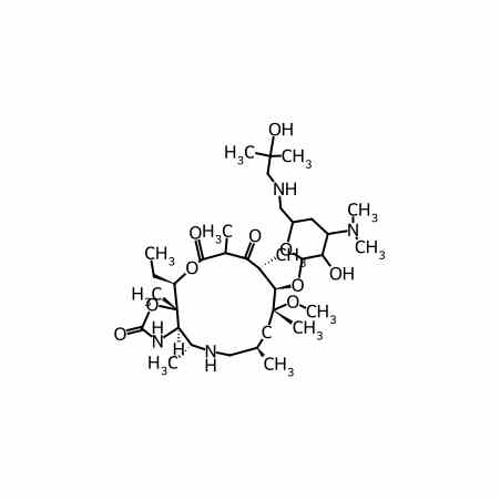 CC[C@H]1OC(=O)C(C)C(=O)[C@H](C)[C@@H](OC2OC(CNCC(C)(C)O)CC(N(C)C)C2O)[C@](C)(OC)C[C@@H](C)CN[C@H](C)[C@H]2NC(=O)O[C@@]21C